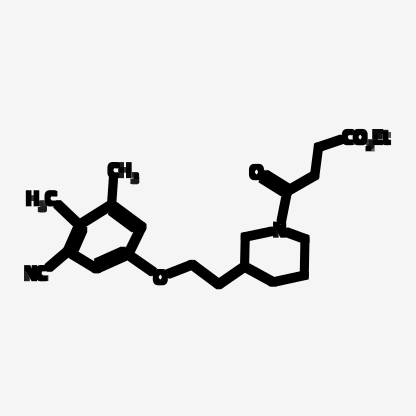 CCOC(=O)CCC(=O)N1CCCC(CCOc2cc(C)c(C)c(C#N)c2)C1